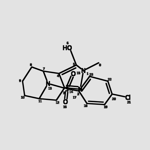 Cn1nc2c(c1O)C1CCCC(C2)N1S(=O)(=O)c1ccc(Cl)cc1